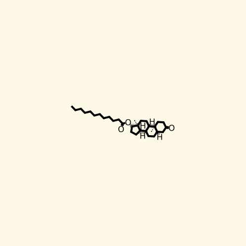 CCCCCCCCCCCC(=O)O[C@H]1CC[C@H]2[C@@H]3CC[C@H]4CC(=O)CC[C@]4(C)[C@H]3CC[C@]12C